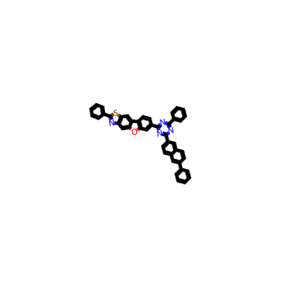 c1ccc(-c2ccc3cc(-c4nc(-c5ccccc5)nc(-c5ccc6c(c5)oc5cc7nc(-c8ccccc8)sc7cc56)n4)ccc3c2)cc1